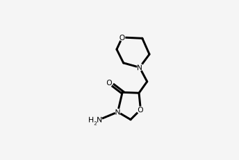 NN1COC(CN2CCOCC2)C1=O